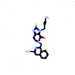 CC#CCn1c(Cl)nc2ccn(Cc3nc(C)cc4ccccc34)c(=O)c21